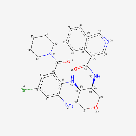 Nc1cc(Br)cc(C(=O)N2CCCCC2)c1N[C@@H]1CCOC[C@@H]1NC(=O)c1cncc2ccccc12